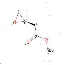 CCCCOC(=O)C[C@@H]1CO1